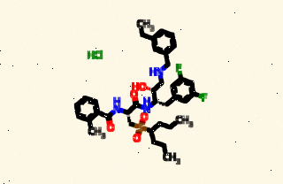 CCCC(CCC)S(=O)(=O)C[C@H](NC(=O)c1ccccc1C)C(=O)N[C@@H](Cc1cc(F)cc(F)c1)[C@H](O)CNCc1cccc(CC)c1.Cl